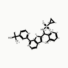 CC(O)(c1ccnc(-c2nccc3cc(C(NS(=O)(=O)C4CC4)c4ncccc4Cl)sc23)c1)C(F)(F)F